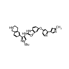 Cn1cc(-c2cc(Oc3ccc(NC(=O)Nc4cn(C(C)(C)C)nc4-c4ccc5c(c4)CCNC5)c(F)c3)ccn2)cn1